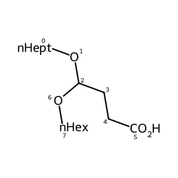 CCCCCCCOC(CCC(=O)O)OCCCCCC